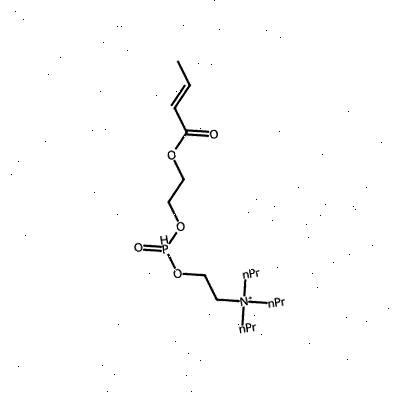 CC=CC(=O)OCCO[PH](=O)OCC[N+](CCC)(CCC)CCC